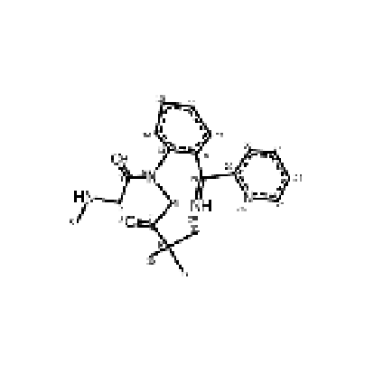 CNCC(=O)N(CC(=O)C(C)(C)C)c1ccccc1C(=N)c1ccccn1